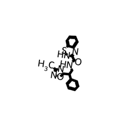 Cc1noc(C(CNC(=O)C2=Nc3ccccc3SN2)c2ccccc2)n1